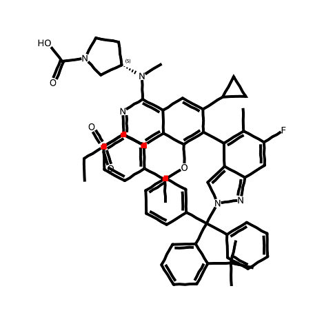 CCS(=O)(=O)c1nc(N(C)[C@H]2CCN(C(=O)O)C2)c2cc(C3CC3)c(-c3c(C)c(F)cc4nn(C(c5ccccc5)(c5ccccc5)c5ccccc5C(C)(C)C)cc34)c(OC(C)c3ccccc3)c2n1